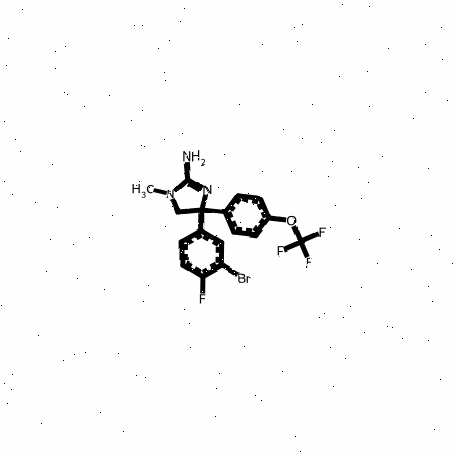 CN1CC(c2ccc(OC(F)(F)F)cc2)(c2ccc(F)c(Br)c2)N=C1N